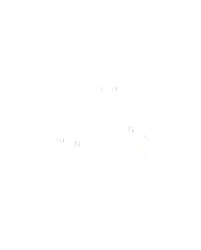 CCCCn1cc2c3c(cc(C(=O)O)cc31)N(C)S(=O)(=O)C=C2